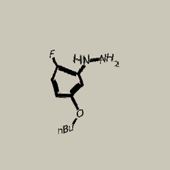 CCCCOc1ccc(F)c(NN)c1